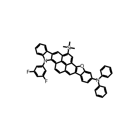 C[Si](C)(C)c1cc2c3oc4cc(N(c5ccccc5)c5ccccc5)ccc4c3cc3ccc4c(c1cc1c5ccccc5n(-c5cc(F)cc(F)c5)c14)c32